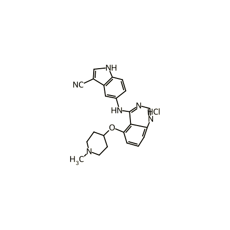 CN1CCC(Oc2cccc3ncnc(Nc4ccc5[nH]cc(C#N)c5c4)c23)CC1.Cl